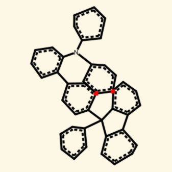 c1ccc(N(c2ccccc2)c2ccccc2-c2ccc(C3(c4ccccc4)c4ccccc4-c4ccccc43)cc2)cc1